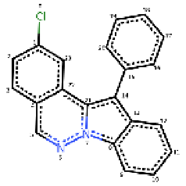 Clc1ccc2cnn3c4ccccc4c(-c4ccccc4)c3c2c1